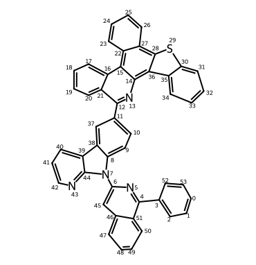 c1ccc(-c2nc(-n3c4ccc(-c5nc6c(c7ccccc57)c5ccccc5c5sc7ccccc7c65)cc4c4cccnc43)cc3ccccc23)cc1